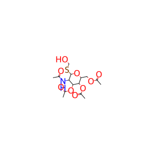 CC(=O)NC1C(SCO)OC(COC(C)=O)C(OC(C)=O)C1OC(C)=O